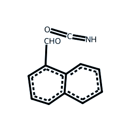 N=C=O.O=Cc1cccc2ccccc12